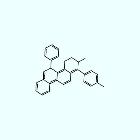 Cc1ccc(C2=c3ccc4c(c3CCC2C)C(c2ccccc2)C=c2ccccc2=4)cc1